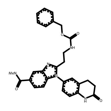 CNC(=O)c1ccc2c(c1)nc(CCNC(=O)OCc1ccccc1)n2-c1ccc2c(c1)CCC(=O)N2